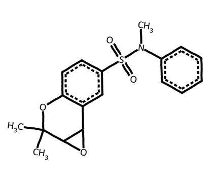 CN(c1ccccc1)S(=O)(=O)c1ccc2c(c1)C1OC1C(C)(C)O2